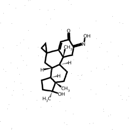 C[C@]12C/C(=N/O)C(=O)C=C1C1(CC1)C[C@@H]1[C@@H]2CC[C@@]2(C)[C@H]1CC[C@]2(C)O